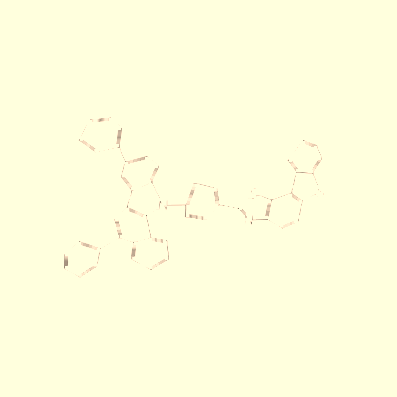 c1ccc(-c2ccc3c(c2)c2cc(-c4ccccc4)c4ccccc4c2n3-c2ccc(-c3nc4ccc5sc6ccccc6c5c4s3)cc2)cc1